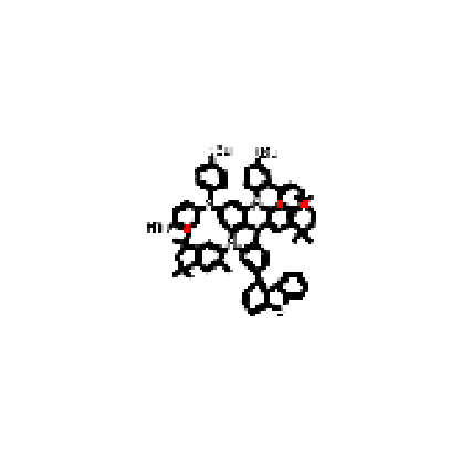 Cc1cc2c(cc1N1c3cc(-c4cccc5sc6ccccc6c45)ccc3C3c4cc5c(cc4N(c4ccc(C(C)(C)C)cc4-c4ccccc4)c4cc(N(c6ccc(C(C)(C)C)cc6)c6ccc(C(C)(C)C)cc6)cc1c43)C(C)(C)CCC5(C)C)C(C)(C)CC2(C)C